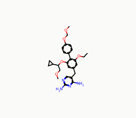 CCOc1cc(Cc2cnc(N)nc2N)cc(OC(COC)C2CC2)c1-c1ccc(OCOC)cc1